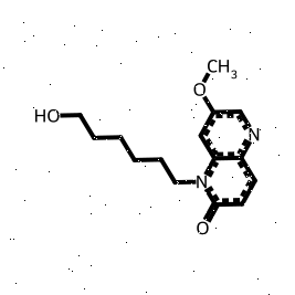 COc1cnc2ccc(=O)n(CCCCCCO)c2c1